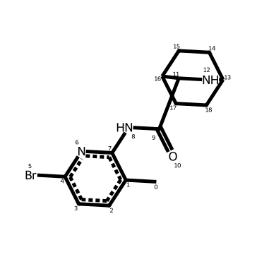 Cc1ccc(Br)nc1NC(=O)C1NC2CCC1CC2